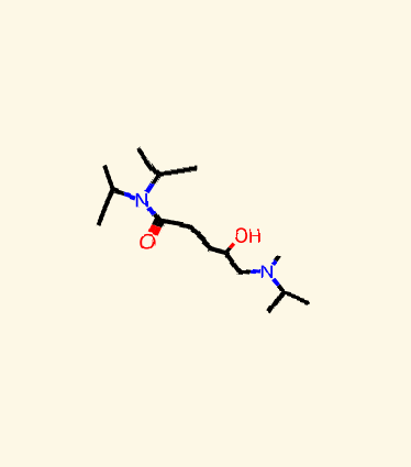 CC(C)N(C)CC(O)CCC(=O)N(C(C)C)C(C)C